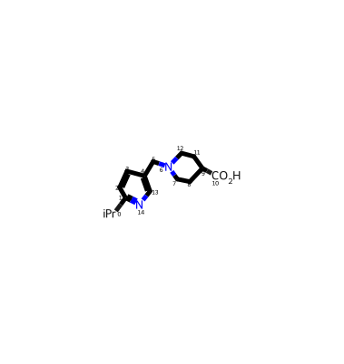 CC(C)c1ccc(CN2CCC(C(=O)O)CC2)cn1